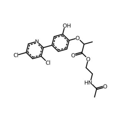 CC(=O)NCCOC(=O)C(C)Oc1ccc(-c2ncc(Cl)cc2Cl)cc1O